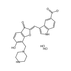 Cl.Cl.O=C1/C(=C/c2c[nH]c3ccc([N+](=O)[O-])cc23)Oc2c1ccc(O)c2CN1CCNCC1